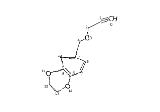 C#CCOCc1ccc2c(c1)OCCO2